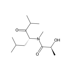 CC(C)C[C@H](C(=O)C(C)C)N(C)C(=O)[C@H](C)O